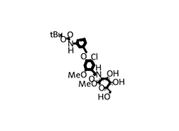 COc1cc(OCc2cccc(NC(=O)OC(C)(C)C)c2)c(Cl)cc1C(=O)N[C@H]1[C@H](OC)O[C@H](CO)[C@@H](O)[C@@H]1O